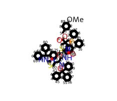 COc1ccc(COC(=O)C2(C=P(c3ccccc3)(c3ccccc3)c3ccccc3)CS[C@@H]3C(NC(=O)C(=NOC(c4ccccc4)(c4ccccc4)c4ccccc4)c4csc(NC(c5ccccc5)(c5ccccc5)c5ccccc5)n4)C(=O)N3C2)cc1